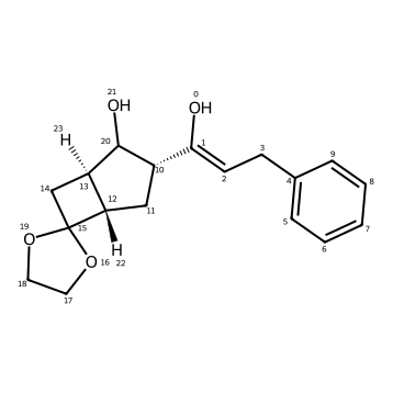 OC(=CCc1ccccc1)[C@@H]1C[C@H]2[C@@H](CC23OCCO3)C1O